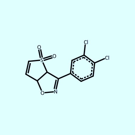 O=S1(=O)C=CC2ON=C(c3ccc(Cl)c(Cl)c3)C21